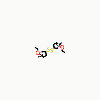 CCO[Si]1(C)CCC(SSC2CC[Si](C)(OCC)C2)C1